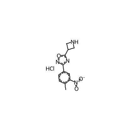 Cc1ccc(-c2noc(C3CNC3)n2)cc1[N+](=O)[O-].Cl